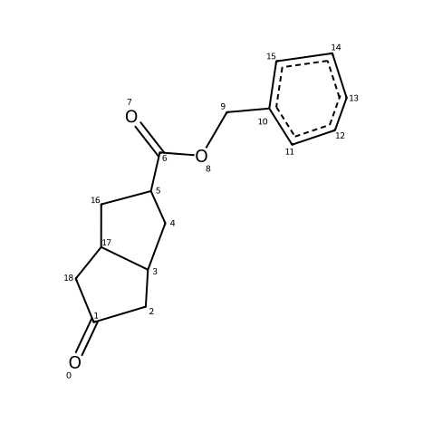 O=C1CC2CC(C(=O)OCc3ccccc3)CC2C1